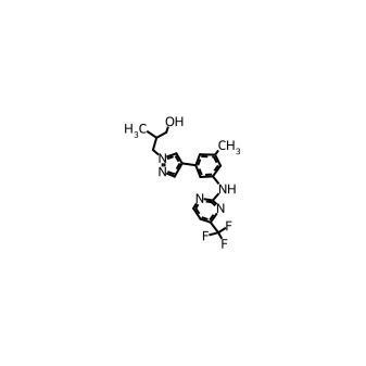 Cc1cc(Nc2nccc(C(F)(F)F)n2)cc(-c2cnn(CC(C)CO)c2)c1